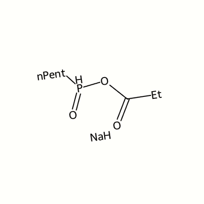 CCCCC[PH](=O)OC(=O)CC.[NaH]